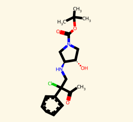 CC(=O)C(Cl)(CN[C@H]1CN(C(=O)OC(C)(C)C)C[C@@H]1O)c1ccccc1